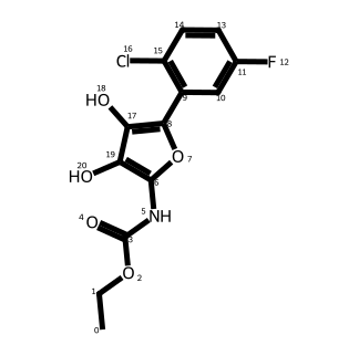 CCOC(=O)Nc1oc(-c2cc(F)ccc2Cl)c(O)c1O